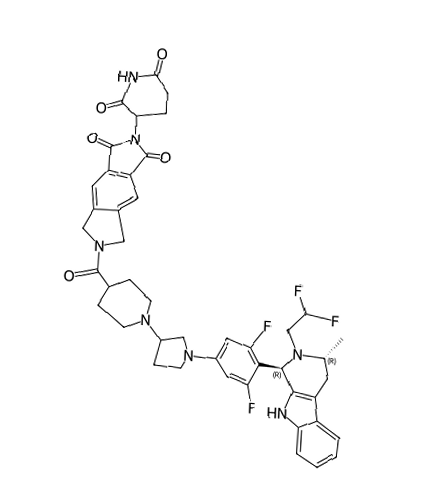 C[C@@H]1Cc2c([nH]c3ccccc23)[C@@H](c2c(F)cc(N3CCC(N4CCC(C(=O)N5Cc6cc7c(cc6C5)C(=O)N(C5CCC(=O)NC5=O)C7=O)CC4)C3)cc2F)N1CC(F)F